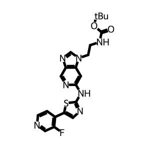 CC(C)(C)OC(=O)NCCn1cnc2cnc(Nc3ncc(-c4ccncc4F)s3)cc21